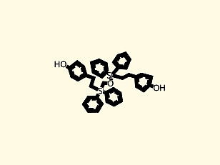 Oc1ccc(CC[Si](CO[Si](CCc2ccc(O)cc2)(c2ccccc2)c2ccccc2)(c2ccccc2)c2ccccc2)cc1